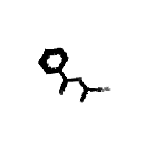 CCCCCC(C)OC(=O)c1ccccc1